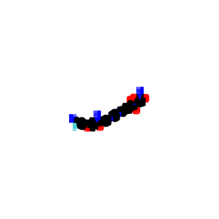 CC1(C)[C@H](NC(=O)c2ccc(N3CCC(N4Cc5cc6c(cc5C4)C(=O)N(C4CCC(=O)NC4=O)C6=O)CC3)cc2)C(C)(C)[C@H]1Oc1ccc(C#N)c(F)c1